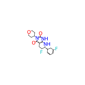 O=c1[nH]c2c(c(=O)n1C1CCOCC1)C[C@@H](F)[C@H](C1C=CC=C(F)C1)N2